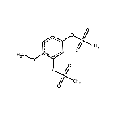 COc1ccc(OS(C)(=O)=O)cc1OS(C)(=O)=O